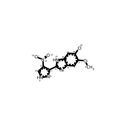 COc1cc2nc(-c3n[nH]cc3[N+](=O)[O-])[nH]c2cc1Cl